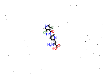 N[C@@H](Cc1ccc(NC(=O)c2c(Cl)cncc2Cl)cn1)C(=O)O